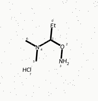 CCC(ON)N(C)C.Cl